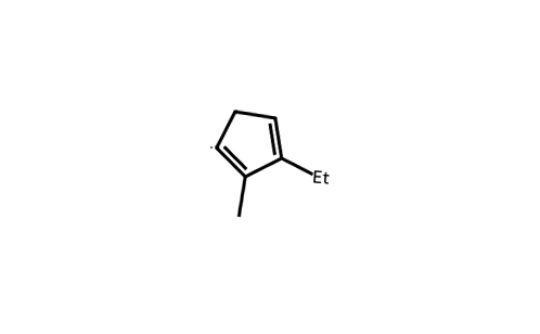 CCC1=CC[C]=C1C